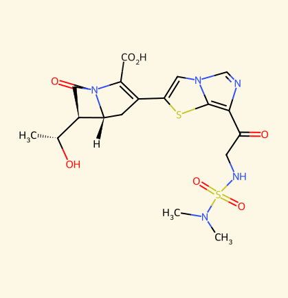 C[C@@H](O)[C@H]1C(=O)N2C(C(=O)O)=C(c3cn4cnc(C(=O)CNS(=O)(=O)N(C)C)c4s3)C[C@H]12